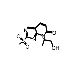 CC(CO)n1c(=O)ccc2cnc(S(C)(=O)=O)nc21